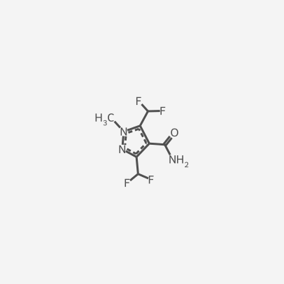 Cn1nc(C(F)F)c(C(N)=O)c1C(F)F